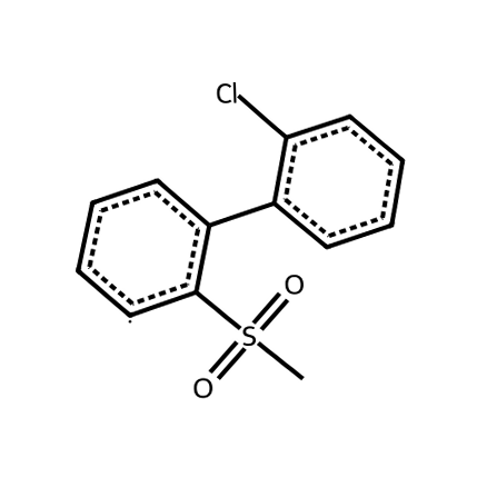 CS(=O)(=O)c1[c]cccc1-c1ccccc1Cl